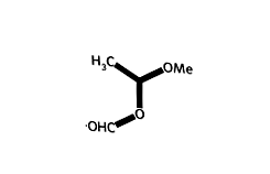 COC(C)O[C]=O